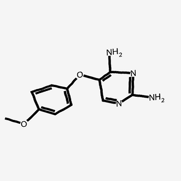 COc1ccc(Oc2cnc(N)nc2N)cc1